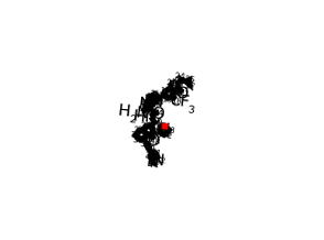 C[C@H](NC(=O)c1c(N)nn2ccc(-c3cc4c(c(C(F)(F)F)c3)C(=O)N([C@@H](C)C3CC3)C4)nc12)c1cc2cccc(C#Cc3cnn(C)c3)c2c(=O)n1-c1ccccc1